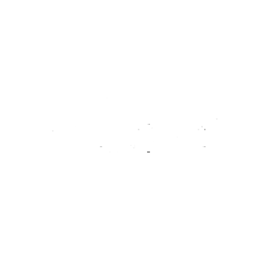 Cn1cc(-c2nc3c4cccc(C5CC5)c4nc(Cl)n3n2)cn1